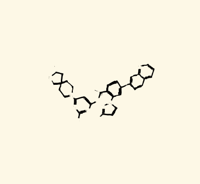 Cc1ccn(-c2cc(-c3ccc4cccnc4c3)ccc2[C@@H](Oc2cc(N3CCC4(CC3)CN[C@H](C(=O)O)C4)nc(N)n2)C(F)(F)F)n1